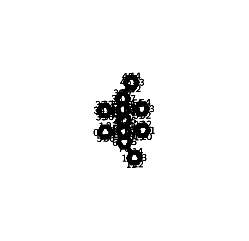 c1ccc(B2c3ccc(-c4ccccc4)cc3N(c3ccccc3)c3cc4c(cc32)B(c2ccccc2)c2ccc(-c3ccccc3)cc2N4c2ccccc2)cc1